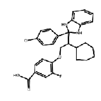 O=C(O)c1ccc(OCC(C2CCCCC2)C2(c3ccc(Cl)cc3)Nc3ccccc3N2)c(F)c1